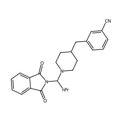 CCCC(N1CCC(Cc2cccc(C#N)c2)CC1)N1C(=O)c2ccccc2C1=O